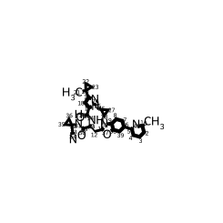 Cc1cccc(-c2ccc3nc(C[C@H](NC(=O)c4cc(C5(C)CC5)nn4C4CC4)C(=O)NC4(C#N)CC4)oc3c2)n1